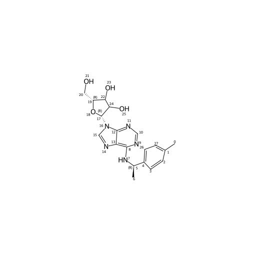 Cc1ccc([C@@H](C)Nc2ncnc3c2ncn3[C@@H]2O[C@H](CO)C(O)C2O)cc1